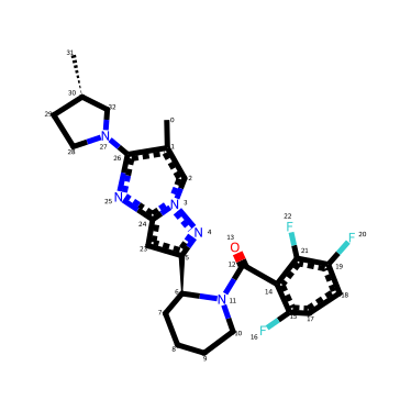 Cc1cn2nc([C@@H]3CCCCN3C(=O)c3c(F)ccc(F)c3F)cc2nc1N1CC[C@H](C)C1